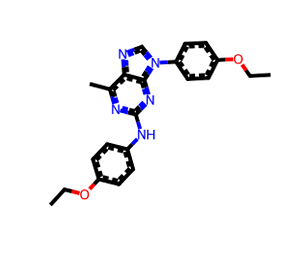 CCOc1ccc(Nc2nc(C)c3ncn(-c4ccc(OCC)cc4)c3n2)cc1